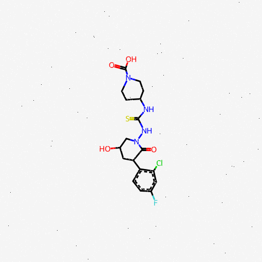 O=C(O)N1CCC(NC(=S)NN2CC(O)CC(c3ccc(F)cc3Cl)C2=O)CC1